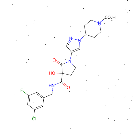 O=C(O)N1CCC(n2cc(N3CCC(O)(C(=O)NCc4cc(F)cc(Cl)c4)C3=O)cn2)CC1